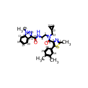 Cc1nc(C(=O)N(CCNC(=O)c2nn(C)c3ccccc23)CC2CC2)c(-c2ccc(C)c(C)c2)s1